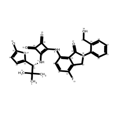 CC(C)(C)[C@@H](Nc1c(Nc2ccc(F)c3c2C(=O)N(c2ccccc2CO)C3)c(=O)c1=O)c1ccc(Cl)o1